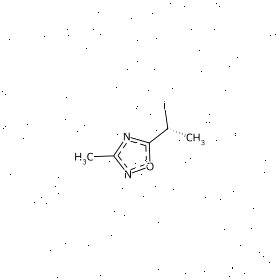 Cc1noc([C@@H](C)I)n1